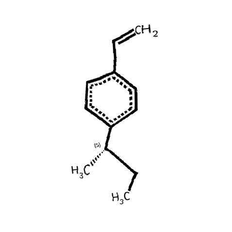 C=Cc1ccc([C@@H](C)CC)cc1